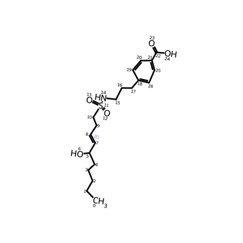 CCCCCC(O)/C=C/CCS(=O)(=O)NCCCc1ccc(C(=O)O)cc1